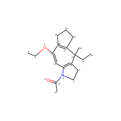 CCOC1=CC2=C(CCN2C(C)=O)C(C)(CC)C2=C1CCC2